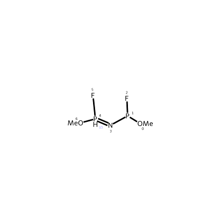 COP(F)/N=[PH](\F)OC